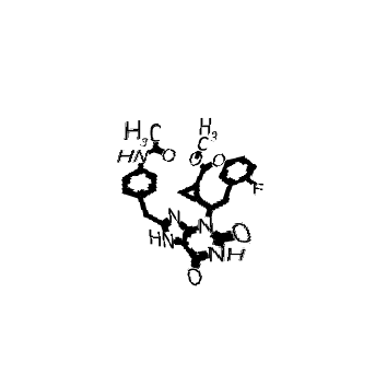 COC(=O)C1CC1C(Cc1ccccc1F)n1c(=O)[nH]c(=O)c2[nH]c(Cc3ccc(NC(C)=O)cc3)nc21